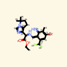 CCOC(=O)C(N/C=C1\C(=N)C(C)=C(Br)C=C1C(F)F)c1ncn2c1CCC2(C)C